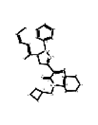 C/C=C\C=C(/C)C1CC(c2cc3c(n(CC4CCC4)c2=O)CCCC3)=NN1c1ccccc1